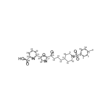 Cc1ccc(S(=O)(=O)N2CCC(CCCC(=O)c3ncc(-c4cccc(C(=O)O)n4)o3)CC2)cc1